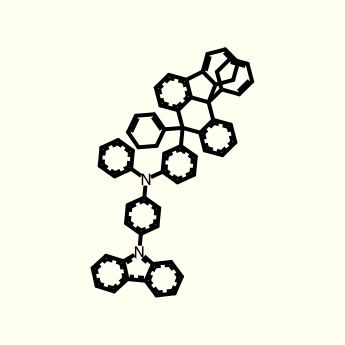 C1=CCCC(C2(c3cccc(N(c4ccccc4)c4ccc(-n5c6ccccc6c6ccccc65)cc4)c3)c3ccccc3C3(C4C=CC=CC4)c4c(cccc42)C2=CC=CCC23)=C1